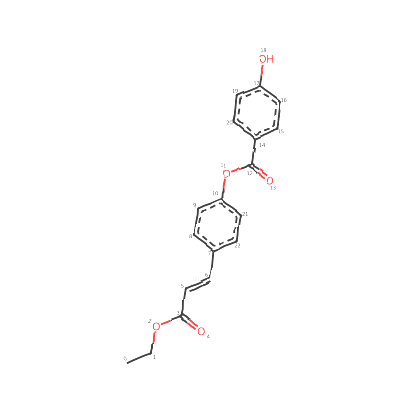 CCOC(=O)/C=C/c1ccc(OC(=O)c2ccc(O)cc2)cc1